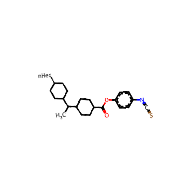 CCCCCCC1CCC(C(C)C2CCC(C(=O)Oc3ccc(N=C=S)cc3)CC2)CC1